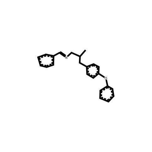 CC(CN=Cc1ccccc1)Cc1ccc(Oc2ccccc2)cc1